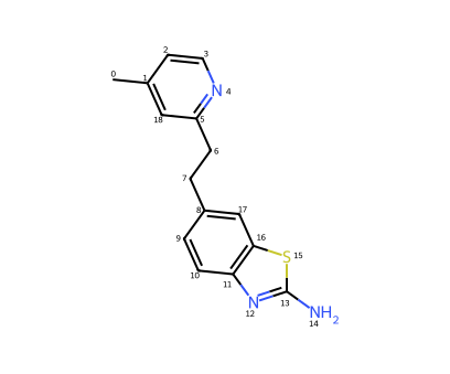 Cc1ccnc(CCc2ccc3nc(N)sc3c2)c1